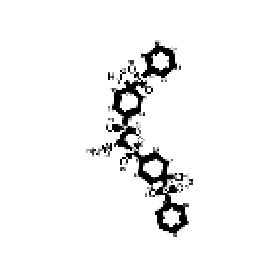 CC1(S(=O)(=O)c2ccccc2)C=CC(S(=O)(=O)C(=[N+]=[N-])S(=O)(=O)C2=CCC(C)(S(=O)(=O)c3ccccc3)C=C2)=CC1